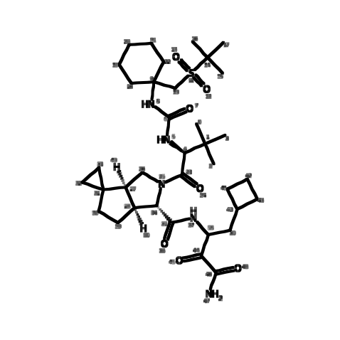 CC(C)(C)[C@H](NC(=O)NC1(CS(=O)(=O)C(C)(C)C)CCCCC1)C(=O)N1C[C@H]2[C@H](CCC23CC3)[C@H]1C(=O)NC(CC1CCC1)C(=O)C(N)=O